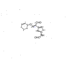 O=[C]/C(=N\OC1C=CCCC1)c1nsc(NC=O)n1